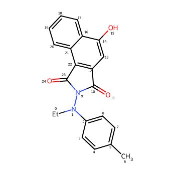 CCN(c1ccc(C)cc1)N1C(=O)c2cc(O)c3ccccc3c2C1=O